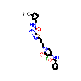 O=C(CC1CCCC1)Nc1ccn(CCCCc2nnc(NC(=O)NCc3cccc(C(F)(F)F)c3)s2)c(=O)c1F